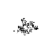 CCCn1c(=O)c2[nH]c(-c3cnn(C(c4cccc(C(F)(F)F)c4)C4CNC(=O)C4)c3)nc2n(CCN2C(=O)c3ccccc3C2=O)c1=O.O=C1CC(C(c2cccc(C(F)(F)F)c2)n2cc(C(=O)O)cn2)CN1